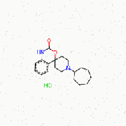 Cl.O=C1Nc2ccccc2C2(CCN(C3CCCCCC3)CC2)O1